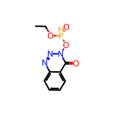 CCO[PH](=O)On1nnc2ccccc2c1=O